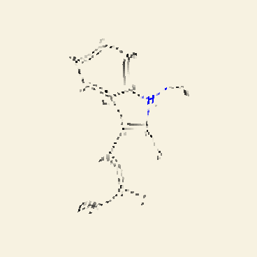 C/C(C=O)=C\c1c(C)n(C)c2ccccc12